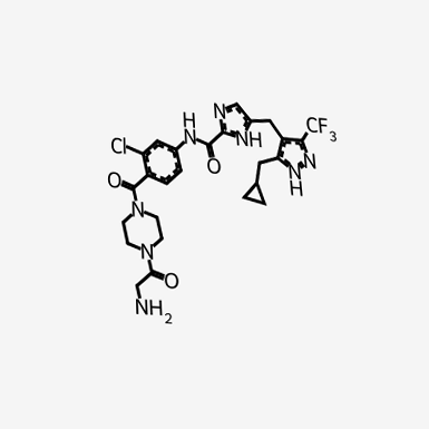 NCC(=O)N1CCN(C(=O)c2ccc(NC(=O)c3ncc(Cc4c(C(F)(F)F)n[nH]c4CC4CC4)[nH]3)cc2Cl)CC1